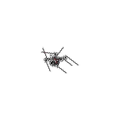 CCCCCCCCCCCCCC(C)C(=O)OC(CC(=O)NC(C)(C(C)O)C(OC(=O)CC(O)C(C)CCCCCCCCC)C(O)C(O)COC(C)C(C)(NC(=O)CC(OC(=O)C(C)CCCCCCCCC)C(C)CCCCCCCCC)[C@@H](OC(=O)CC(CCCCCCCCCC)OC(=O)C(C)CCCCCCCCCCC)C(O[P+]([O-])(O)O)C(O)CO)C(C)CCCCCCCCC